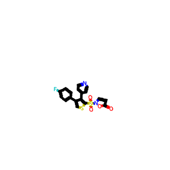 O=c1ccn(S(=O)(=O)c2scc(-c3ccc(F)cc3)c2-c2ccncc2)o1